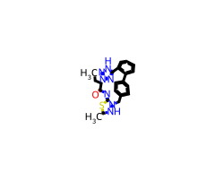 CCCC(=O)N=C1SC(C)NN1Cc1ccc(-c2ccccc2-c2nnn[nH]2)cc1